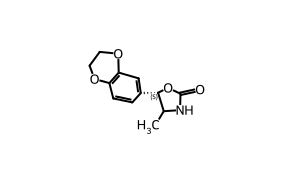 CC1NC(=O)O[C@H]1c1ccc2c(c1)OCCO2